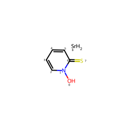 On1ccccc1=S.[SrH2]